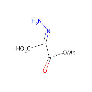 COC(=O)C(=NN)C(=O)O